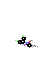 COc1ccc(C(=O)N[C@@H](c2ccc(Cl)cc2)[C@@H](N)c2ccc(Cl)cc2)c(OC(C)C)c1